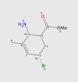 COC(=O)C1C[C@H](Br)C=C(C)C1N